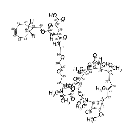 COc1cc2cc(c1Cl)N(C)C(=O)C[C@H](OC(=O)[C@@H](C)N(C)C(=O)CCOCCOCCNC(=O)C(CCC(=O)O)NC(=O)OCC1[C@H]3CCC#CCC[C@@H]13)[C@]1(C)O[C@H]1[C@H](C)[C@@H]1C[C@@](O)(NC(=O)O1)[C@H](OC)/C=C/C=C(\C)C2